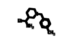 CCC(N)C1CCCN(Cc2ccc(C)cc2)C1